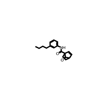 CCCCc1cccc(NC(=O)C23C=CC(CC2)C3=O)c1